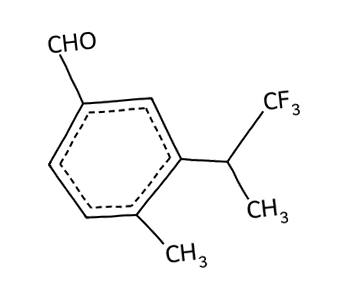 Cc1ccc(C=O)cc1C(C)C(F)(F)F